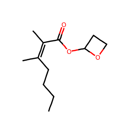 CCCCC(C)=C(C)C(=O)OC1CCO1